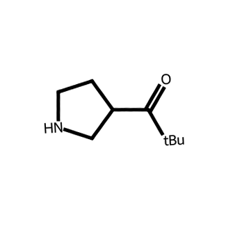 CC(C)(C)C(=O)C1CCNC1